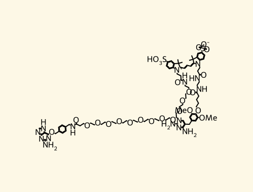 COc1cc(Cc2cnc(N)nc2N)cc(OC)c1OCCCCC(=O)NCCNC(=O)CCN1/C(=C/C=C/C2=[N+](CCC(=O)NCCOCCOCCOCCOCCOCCOCCOCCOCCOCCOCCOCCOCCC(=O)NCc3ccc(COc4nc(N)nc5nc[nH]c45)cc3)c3ccc(S(=O)(=O)O)cc3C2(C)C)C(C)(C)c2cc(S(=O)(=O)[O-])ccc21